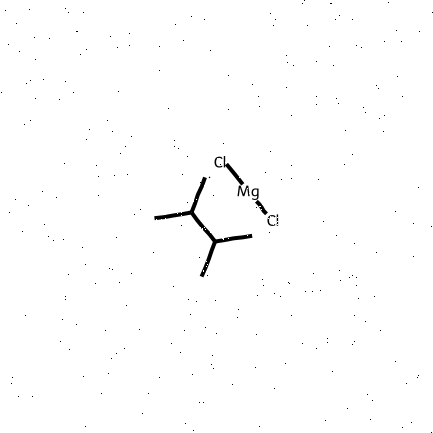 [CH2]C(C)C(C)C.[Cl][Mg][Cl]